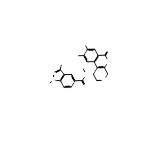 CCn1nc(Cl)c2cc(C(=O)N(C)[C@H]3COCc4[nH]c(=O)c5cc(F)c(F)cc5c43)ccc21